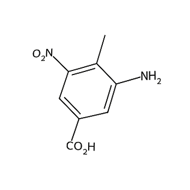 Cc1c(N)cc(C(=O)O)cc1[N+](=O)[O-]